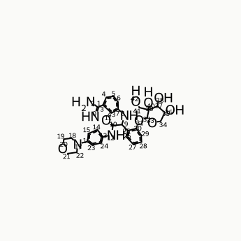 N=C(N)c1cccc(NC(C(=O)Nc2ccc(N3CCOCC3)cc2)c2ccccc2OC2OCC(O)C(O)C2(O)CO)c1